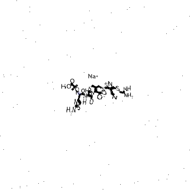 CC(C)(O/N=C(\C(=O)N[C@@H]1C(=O)N2C(C(=O)[O-])=C(CSc3snc(SCC(=N)N)c3C#N)CS[C@@H]12)c1csc(N)n1)C(=O)O.[Na+]